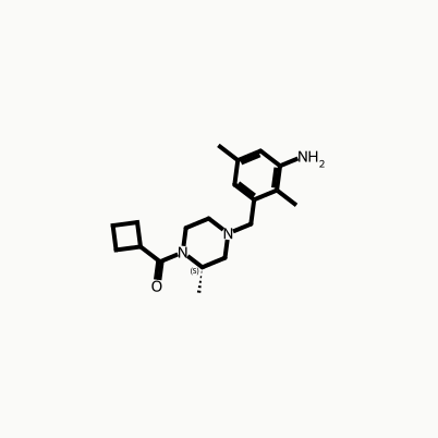 Cc1cc(N)c(C)c(CN2CCN(C(=O)C3CCC3)[C@@H](C)C2)c1